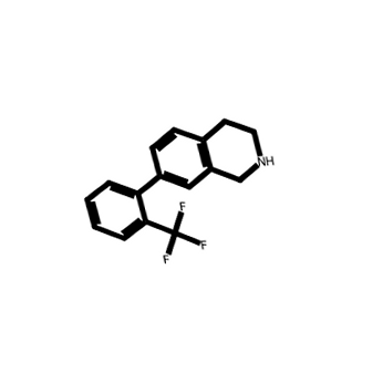 FC(F)(F)c1ccccc1-c1ccc2c(c1)CNCC2